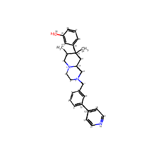 CC1CN2CCN(Cc3cccc(-c4ccncc4)c3)CC2CC1(C)c1cccc(O)c1